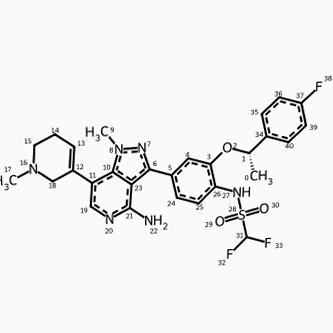 C[C@H](Oc1cc(-c2nn(C)c3c(C4=CCCN(C)C4)cnc(N)c23)ccc1NS(=O)(=O)C(F)F)c1ccc(F)cc1